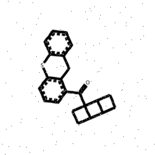 O=C(c1cccc2c1Cc1ccccc1S2)C12C3C4C5C3C1C5C42